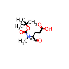 CN(C(=O)OC(C)(C)C)[C@H]([C]=O)CCC(=O)O